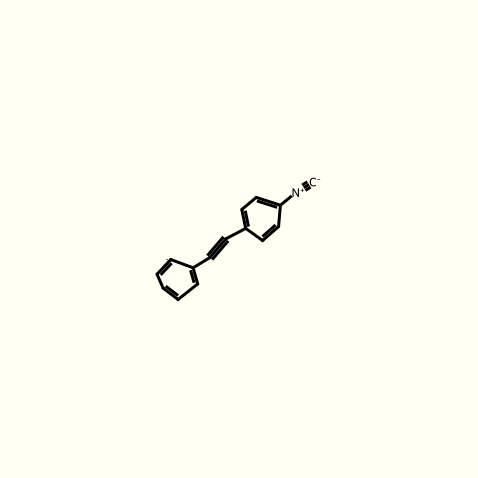 [C-]#[N+]c1ccc(C#Cc2[c]cccc2)cc1